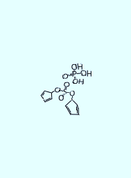 O=P(O)(O)O.O=S(=O)(OC1C=CC=C1)OC1C=CC=C1